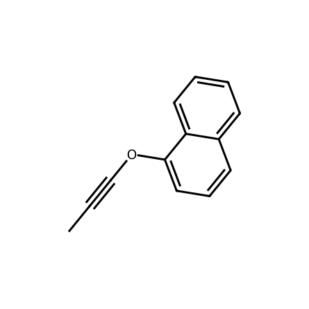 CC#COc1cccc2ccccc12